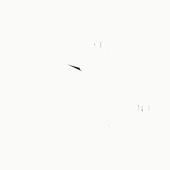 C=C(CCC(N)=O)[C@H]1C=CCCC1